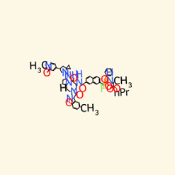 CCCOC(=O)[C@H](C)NP(=O)(Oc1ccccc1)[C@@H](F)c1ccc2ccc(C(=O)N[C@H]3CN(C(=O)c4noc5ccc(C)cc45)CC[C@H]4CC[C@@H](NN5C[C@@H](c6ccn(C)c(=O)c6)CC56CC6)N4C3=O)cc2c1